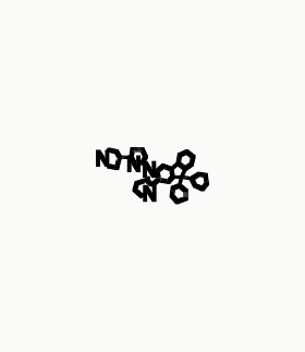 c1ccc(C2(c3ccccc3)c3ccccc3-c3cc4c(cc32)c2ncccc2n4-c2cccc(-c3ccncc3)n2)cc1